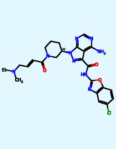 CCN(C)CC=CC(=O)N1CCC[C@@H](n2nc(C(=O)Nc3nc4cc(Cl)ccc4o3)c3c(N)ncnc32)C1